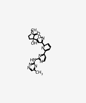 Cc1cnnc(Nc2nccc(-c3cccc(-c4cc([C@]5(O)CCN(C)C5=O)on4)n3)n2)n1